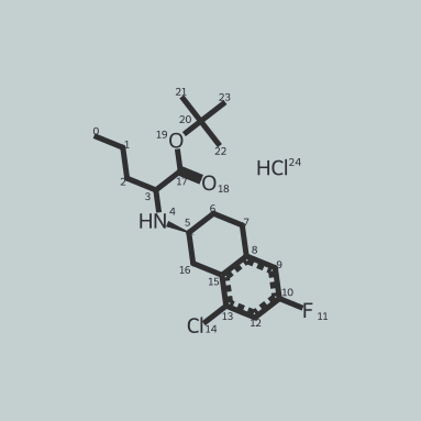 CCCC(N[C@H]1CCc2cc(F)cc(Cl)c2C1)C(=O)OC(C)(C)C.Cl